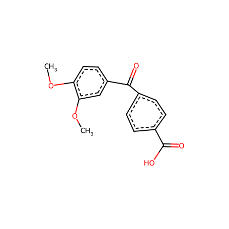 COc1ccc(C(=O)c2ccc(C(=O)O)cc2)cc1OC